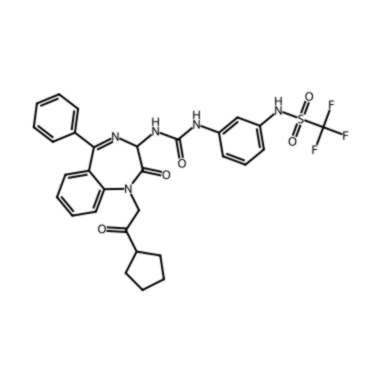 O=C(Nc1cccc(NS(=O)(=O)C(F)(F)F)c1)NC1N=C(c2ccccc2)c2ccccc2N(CC(=O)C2CCCC2)C1=O